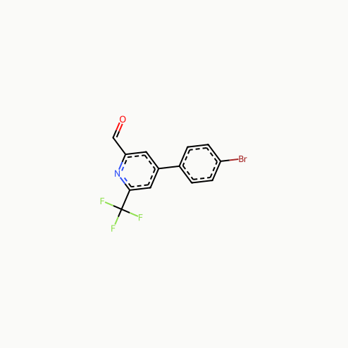 O=Cc1cc(-c2ccc(Br)cc2)cc(C(F)(F)F)n1